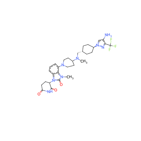 CN(C[C@H]1CC[C@H](n2cc(N)c(C(F)(F)F)n2)CC1)C1CCN(c2cccc3c2n(C)c(=O)n3C2CCC(=O)NC2=O)CC1